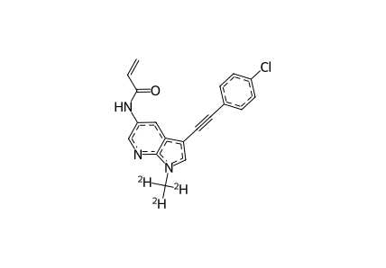 [2H]C([2H])([2H])n1cc(C#Cc2ccc(Cl)cc2)c2cc(NC(=O)C=C)cnc21